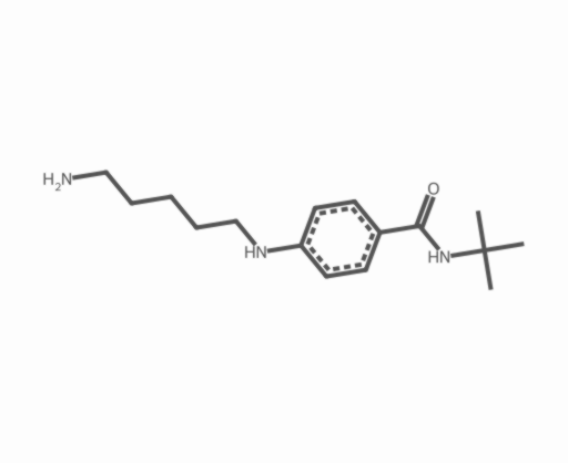 CC(C)(C)NC(=O)c1ccc(NCCCCCN)cc1